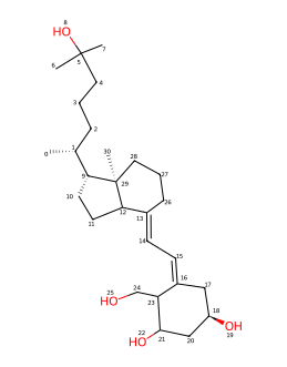 C[C@H](CCCC(C)(C)O)[C@H]1CCC2/C(=C/C=C3/C[C@@H](O)CC(O)C3CO)CCC[C@@]21C